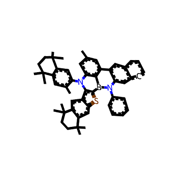 Cc1cc2c3c(c1)N(c1cc4c(cc1C)C(C)(C)CCC4(C)C)c1c(sc4cc5c(cc14)C(C)(C)CCC5(C)C)B3N(c1ccccc1)c1cc3ccccc3cc1-2